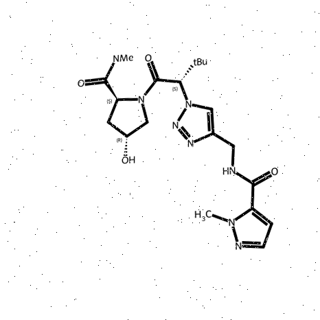 CNC(=O)[C@@H]1C[C@@H](O)CN1C(=O)[C@@H](n1cc(CNC(=O)c2ccnn2C)nn1)C(C)(C)C